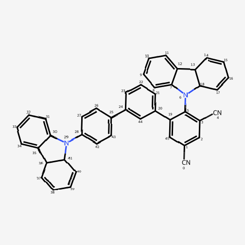 N#Cc1cc(C#N)c(N2c3ccccc3C3C=CC=CC32)c(-c2cccc(-c3ccc(N4c5ccccc5C5C=CC=CC54)cc3)c2)c1